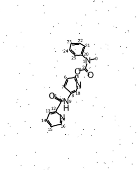 CN(C(=O)Oc1ccc(NC(=O)c2ccccn2)cn1)c1ccccc1